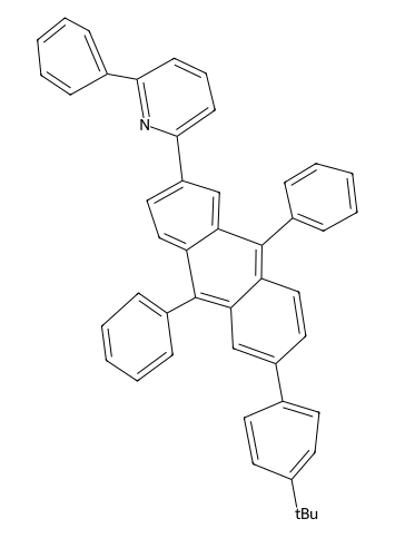 CC(C)(C)c1ccc(-c2ccc3c(-c4ccccc4)c4cc(-c5cccc(-c6ccccc6)n5)ccc4c(-c4ccccc4)c3c2)cc1